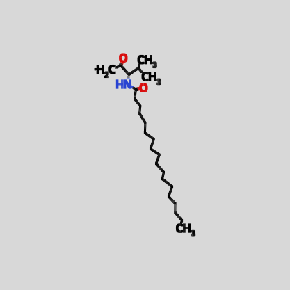 [CH2]C(=O)[C@@H](NC(=O)CCCCCCCCCCCCCCCCC)C(C)C